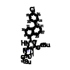 CC(C)(C)OC(=O)/N=C(/NCc1cccc2c(-c3ccc(Cl)cc3)cccc12)NC(=O)OC(C)(C)C